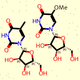 COc1cn([C@@H]2O[C@H](CO)[C@@H](O)[C@H]2O)c(=O)[nH]c1=O.Cc1cn([C@@H]2O[C@H](CO)[C@@H](O)[C@H]2O)c(=O)[nH]c1=O